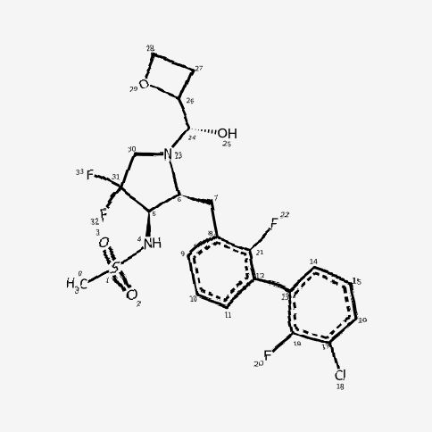 CS(=O)(=O)N[C@@H]1[C@H](Cc2cccc(-c3cccc(Cl)c3F)c2F)N([C@@H](O)C2CCO2)CC1(F)F